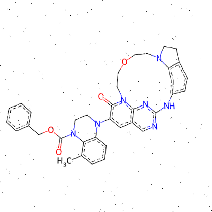 Cc1cccc2c1N(C(=O)OCc1ccccc1)CCN2c1cc2cnc3nc2n(c1=O)CCOCCN1CCc2ccc(cc21)N3